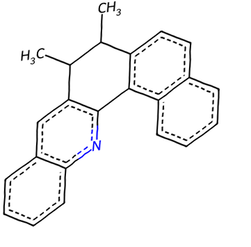 CC1c2cc3ccccc3nc2-c2c(ccc3ccccc23)C1C